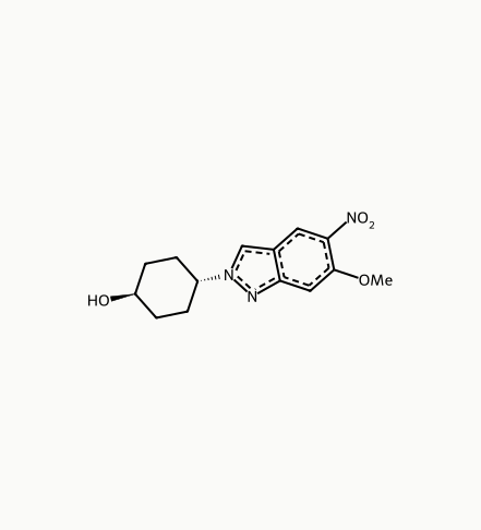 COc1cc2nn([C@H]3CC[C@H](O)CC3)cc2cc1[N+](=O)[O-]